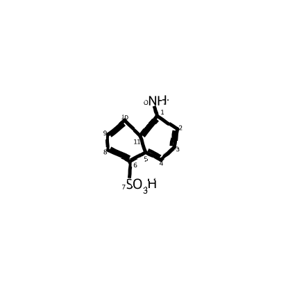 [NH]c1cccc2c(S(=O)(=O)O)cccc12